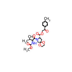 COC(=O)N[C@H](C(=O)N1CC2(C[C@H]1C(=O)OCC(=O)c1ccc(C)cc1)OCCO2)C(C)C